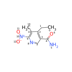 CCc1c(C(N)=O)cnc([N+](=O)[O-])c1C